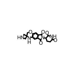 O=C1CCC(N2C(=O)c3cc4c(cc3C2=O)OCC2(CNC2)N4)C(=O)N1